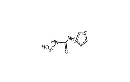 NC(=O)NC(=O)O.c1ccsc1